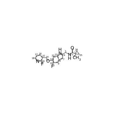 CC1(C(=O)NCc2cc3cc(F)c(OCc4cccnc4F)cc3[nH]2)CC1